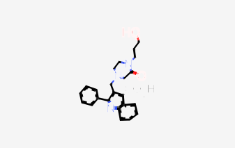 O=C(O)c1c(CN2CCN(CCCO)C(=O)C2)c(-c2ccccc2)nc2ccccc12